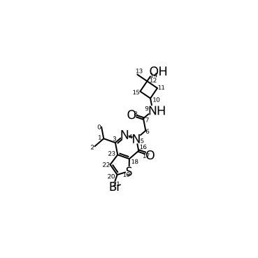 CC(C)c1nn(CC(=O)NC2CC(C)(O)C2)c(=O)c2sc(Br)cc12